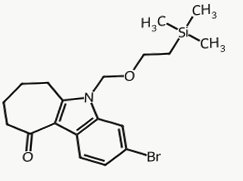 C[Si](C)(C)CCOCn1c2c(c3ccc(Br)cc31)C(=O)CCCC2